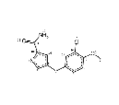 COc1ccc([CH]c2cnn(C(N)=O)c2)cc1Cl